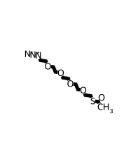 CC(=O)SCCOCCOCCOCCOCCN=[N+]=[N-]